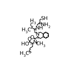 CSCC[C@@H](C(=O)O)N(C)C(=O)[C@@H]1Cc2ccccc2CN1C[C@H](NC[C@@H](N)CS)C(C)C